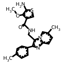 COc1c(C(=O)NCc2c(-c3ccc(C)cc3)nc3ccc(C)cn23)csc1N